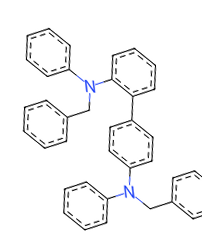 c1ccc(CN(c2ccccc2)c2ccc(-c3ccccc3N(Cc3ccccc3)c3ccccc3)cc2)cc1